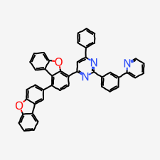 c1ccc(-c2cc(-c3ccc(-c4ccc5oc6ccccc6c5c4)c4c3oc3ccccc34)nc(-c3cccc(-c4ccccn4)c3)n2)cc1